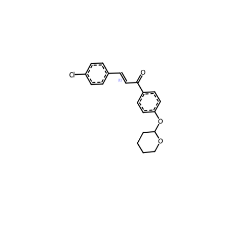 O=C(/C=C/c1ccc(Cl)cc1)c1ccc(OC2CCCCO2)cc1